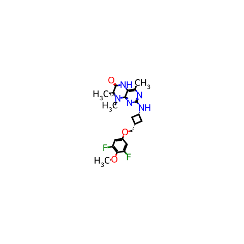 COc1c(F)cc(OC[C@H]2C[C@@H](Nc3nc(C)c4c(n3)N(C)[C@@H](C)C(=O)N4)C2)cc1F